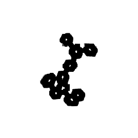 c1ccc(-c2cccc3c(-c4cccc5ccccc45)nc4cc(-c5ccc(-c6cc(-c7ccccn7)nc(-c7ccccn7)c6)cc5)ccc4c23)cc1